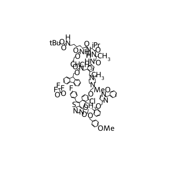 C#CCOC(=O)N[C@@H](CCCCNC(=O)OC(C)(C)C)C(=O)N[C@H](C(=O)N[C@@H](C)C(=O)Nc1ccc(C[N+]2(C)CCN(CCOc3ccc(-c4c(-c5ccc(F)cc5)sc5ncnc(O[C@H](Cc6ccccc6OCc6ccnc(-c7ccccc7OC)n6)C(=O)OCc6ccc(OC)cc6)c45)c(C)c3Cl)CC2)c(CN(C)C(=O)OCC2c3ccccc3-c3ccccc32)c1)C(C)C.O=C([O-])C(F)(F)F